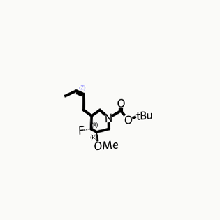 C/C=C\CC1CN(C(=O)OC(C)(C)C)C[C@@H](OC)[C@@H]1F